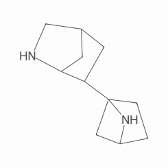 C1NC2CC1CC2C12CCC(C1)N2